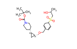 CC(O)CS(=O)(=O)C1C=CC(COC[C@@H]2C[C@@H]2C2CCN(C(=O)OC(C)(C)C)CC2)=CC1